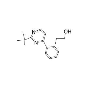 CC(C)(C)c1nccc(-c2ccccc2CCO)n1